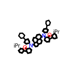 CC(C)c1cccc2c1oc1c(N(c3ccc(C4CCCCC4)cc3)c3ccc4ccc5c(N(c6ccc(C7CCCCC7)cc6)c6cccc7c6oc6c(C(C)C)cccc67)ccc6ccc3c4c65)cccc12